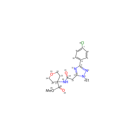 CCn1nc(-c2ccc(Cl)cc2)nc1CC(=O)NC1(C(=O)OC)CCOCC1